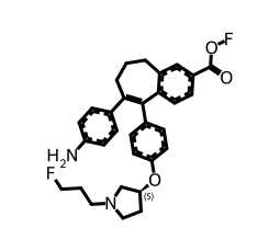 Nc1ccc(C2=C(c3ccc(O[C@H]4CCN(CCCF)C4)cc3)c3ccc(C(=O)OF)cc3CCC2)cc1